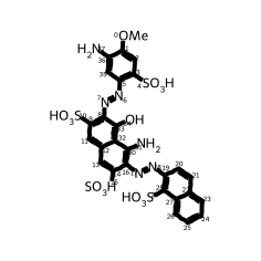 COc1cc(S(=O)(=O)O)c(N=Nc2c(S(=O)(=O)O)cc3cc(S(=O)(=O)O)c(N=Nc4ccc5ccccc5c4S(=O)(=O)O)c(N)c3c2O)cc1N